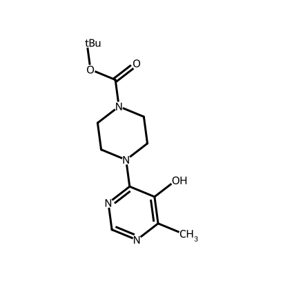 Cc1ncnc(N2CCN(C(=O)OC(C)(C)C)CC2)c1O